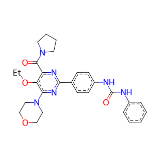 CCOc1c(C(=O)N2CCCC2)nc(-c2ccc(NC(=O)Nc3ccccc3)cc2)nc1N1CCOCC1